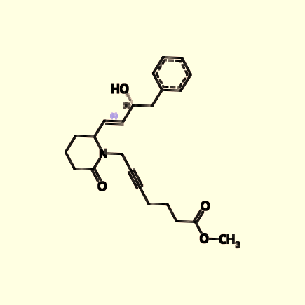 COC(=O)CCCC#CCN1C(=O)CCCC1/C=C/[C@H](O)Cc1ccccc1